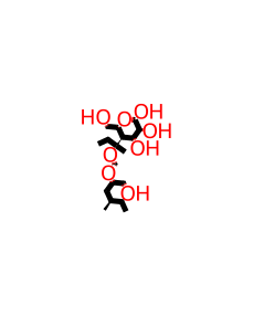 CC[C@@H](C)CC(CO)OCOC(C)(CC)[C@@H]1C(CO)OC(O)[C@@H](O)C1O